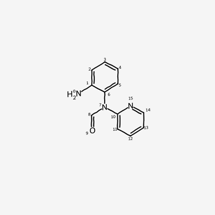 Nc1ccccc1N(C=O)c1ccccn1